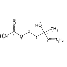 C=CC(C)(O)CCOC(N)=O